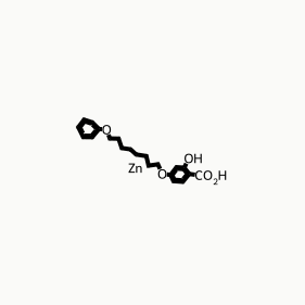 O=C(O)c1ccc(OCCCCCCCCOc2ccccc2)cc1O.[Zn]